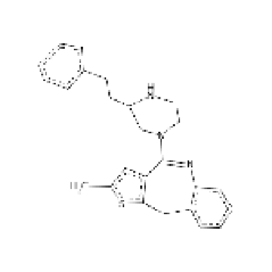 Cc1cc2c(s1)Cc1ccccc1N=C2N1CCNC(CCc2ccccc2)C1